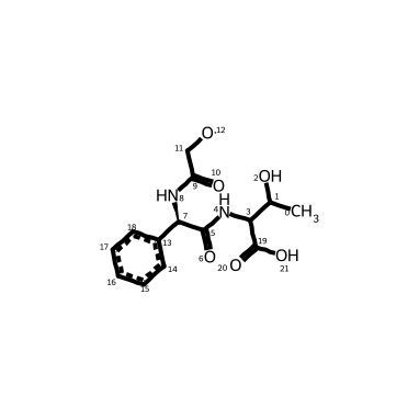 CC(O)C(NC(=O)[C@H](NC(=O)C[O])c1ccccc1)C(=O)O